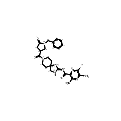 Nc1nc(N)c(C(=O)/N=C2\NCC3(CCN(C(=O)C4CC(=O)N(Cc5ccccc5)C4)CC3)N2)nc1Cl